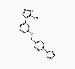 N#Cc1[nH]nnc1-c1cccc(OCc2ccc(-n3ccnc3)cc2)c1